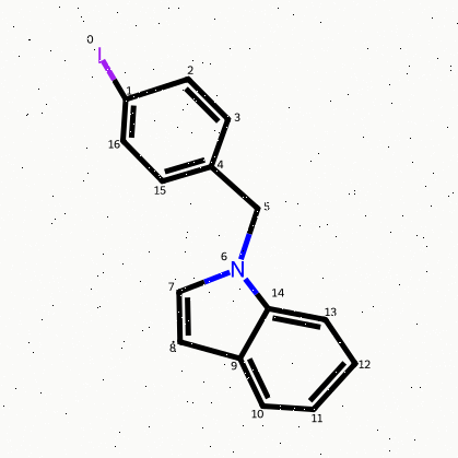 Ic1ccc(Cn2c[c]c3ccccc32)cc1